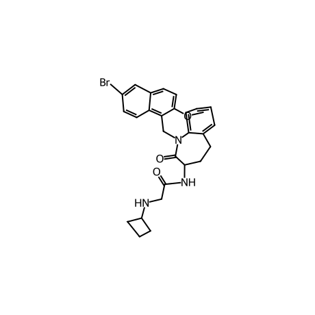 COc1ccc2cc(Br)ccc2c1CN1C(=O)C(NC(=O)CNC2CCC2)CCc2ccccc21